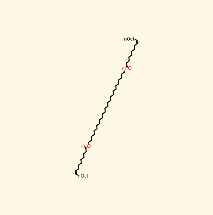 CCCCCCCC/C=C\CCCCCCCC(=O)OCCCCCCCCCCCCCCCCCCCCCCCCCCOC(=O)CCCCCCC/C=C\CCCCCCCC